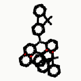 CC1(C)c2ccccc2-c2ccc(N(c3ccccc3-c3cccc4cccc(-c5ccccc5)c34)c3cccc4c3-c3ccccc3C4(C)c3ccccc3)cc21